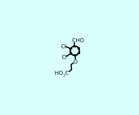 O=Cc1ccc(OCCC(=O)O)c(Cl)c1Cl